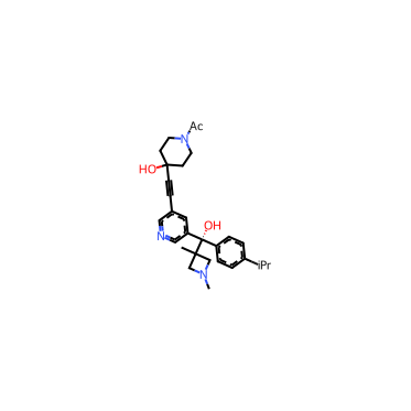 CC(=O)N1CCC(O)(C#Cc2cncc([C@@](O)(c3ccc(C(C)C)cc3)C3(C)CN(C)C3)c2)CC1